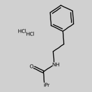 CC(C)C(=O)NCCc1ccccc1.Cl.Cl